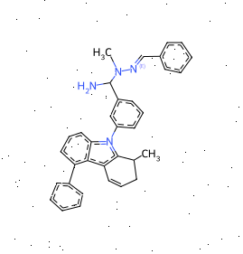 CC1CC=Cc2c1n(-c1cccc(C(N)N(C)/N=C/c3ccccc3)c1)c1cccc(-c3ccccc3)c21